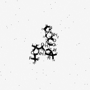 CC(C)(C)[C@H](NC(=O)C(F)(F)F)C(=O)N1C[C@H]2[C@@H]([C@H]1C(=O)N[C@@H](Cn1ccnn1)C(N)=O)C2(C)C